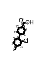 Cc1ccc(-c2ccc(C(=O)O)cc2)c(Cl)c1